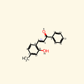 Cc1ccc(/C=C/C(=O)c2ccccc2)c(O)c1